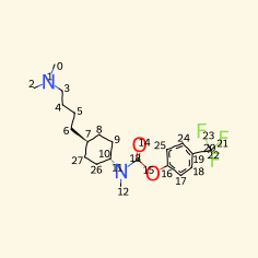 CN(C)CCCC[C@H]1CC[C@H](N(C)C(=O)Oc2ccc(C(F)(F)F)cc2)CC1